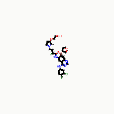 O=C(Nc1cc2c(Nc3ccc(F)c(Cl)c3)ncnc2cc1O[C@H]1CCOC1)/C(F)=C/CN1CC[C@@H](OCCO)C1